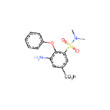 CN(C)S(=O)(=O)c1cc(C(=O)O)cc(N)c1Oc1ccccc1